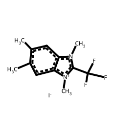 Cc1cc2c(cc1C)[n+](C)c(C(F)(F)F)n2C.[I-]